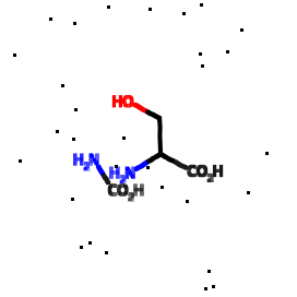 NC(=O)O.NC(CO)C(=O)O